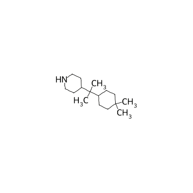 CC1(C)CCC(C(C)(C)C2CCNCC2)CC1